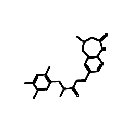 Cc1cc(C)c(CN(C)C(=O)C=Cc2cnc3c(c2)CN(C)CC(=O)N3)cc1C